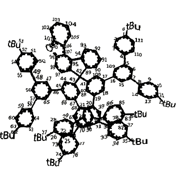 CC(C)(C)c1ccc(-c2cc(-c3ccc(C(C)(C)C)cc3)cc(-c3cc(-c4cc(-c5ccc(C(C)(C)C)cc5)cc(-c5ccc(C(C)(C)C)cc5)c4)cc(C4(c5cc(-c6cc(-c7ccc(C(C)(C)C)cc7)cc(-c7ccc(C(C)(C)C)cc7)c6)cc(-c6cc(-c7ccc(C(C)(C)C)cc7)cc(-c7ccc(C(C)(C)C)cc7)c6)c5)c5ccccc5-c5c4ccc4oc6ccccc6c54)c3)c2)cc1